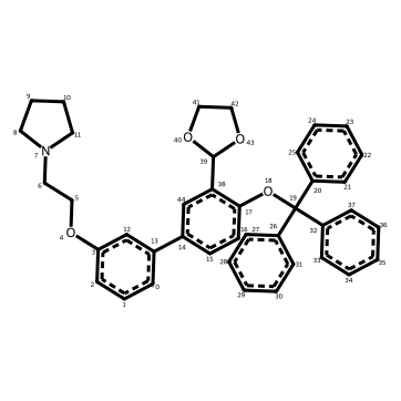 [c]1ccc(OCCN2CCCC2)cc1-c1ccc(OC(c2ccccc2)(c2ccccc2)c2ccccc2)c(C2OCCO2)c1